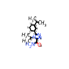 CC(C)C1=CC(c2nnc(C(N)=O)n2C(C)C)CCC1